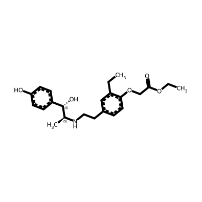 CCOC(=O)COc1ccc(CCN[C@@H](C)[C@@H](O)c2ccc(O)cc2)cc1CC